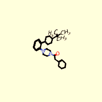 CC(C)(C)C1CCC(c2ccccc2N2CCN(C(=O)CC3CCCCC3)CC2)CC1